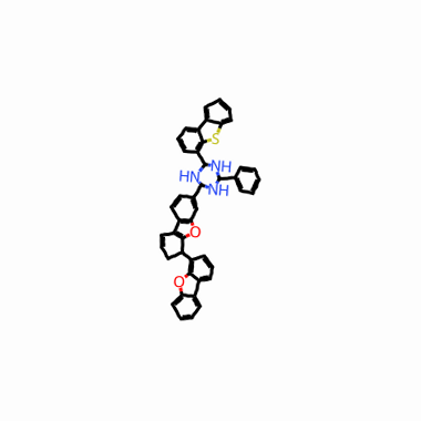 C1=Cc2c(oc3cc(C4NC(c5ccccc5)NC(c5cccc6c5sc5ccccc56)N4)ccc23)C(c2cccc3c2oc2ccccc23)C1